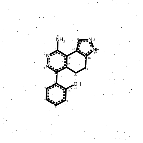 Nc1nnc(-c2ccccc2O)c2c1-c1cn[nH]c1CC2